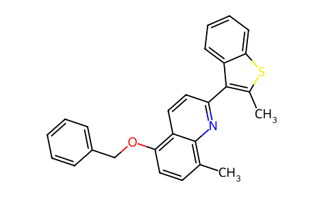 Cc1sc2ccccc2c1-c1ccc2c(OCc3ccccc3)ccc(C)c2n1